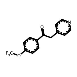 O=C(Cc1ccncc1)c1ccc(OC(F)(F)F)cc1